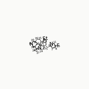 CCOCC1(CCc2ccc(F)cn2)CCN(C2(c3cncc4c3CCCC4)CC2)C1